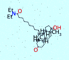 CCN(CC)C(=O)CCCCCCCC[C@@H]1C[C@H]2CC(=O)CC[C@]2(C)[C@H]2CC[C@]3(C)[C@@H](O)CC[C@H]3[C@H]12